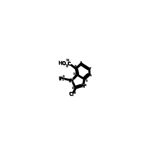 CC(C)n1c(Cl)nc2cccc(C(=O)O)c21